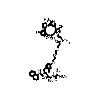 CN[C@@H](C)C(=O)N[C@H](C(=O)N1Cc2cc(OCCOCCOCCC(=O)N(C)CCn3nc(C#N)c4c3CN(C)C(=O)c3ccc(F)cc3[C@H]3CCCN3c3cc-4cnc3N)ccc2C[C@H]1C(=O)N[C@@H]1CCCc2ccccc21)C(C)(C)C